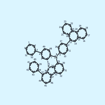 c1ccc(-c2ccc(N(c3ccc(-c4cc5ccccc5c5ccccc45)cc3)c3cccc4c3sc3c(-c5ccccc5)cccc34)cc2)cc1